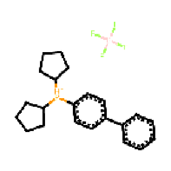 F[B-](F)(F)F.c1ccc(-c2ccc([PH+](C3CCCC3)C3CCCC3)cc2)cc1